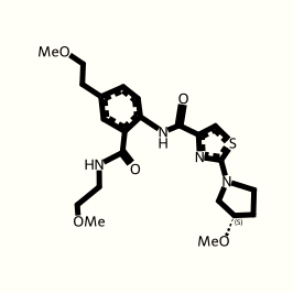 COCCNC(=O)c1cc(CCOC)ccc1NC(=O)c1csc(N2CC[C@H](OC)C2)n1